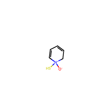 [O-][N+]1(S)C=CC=CC1